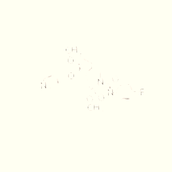 COC(=O)[C@@H]1Cc2c(ccc(OC)c2OCc2ccncc2)CN1c1nc2ccc(F)cc2o1